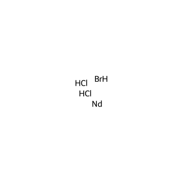 Br.Cl.Cl.[Nd]